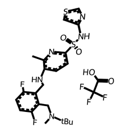 Cc1nc(S(=O)(=O)Nc2cscn2)ccc1NCc1c(F)ccc(F)c1CN(C)C(C)(C)C.O=C(O)C(F)(F)F